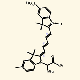 CCCCC(C(=O)C(C)C)N1/C(=C/C=C/C=C/C2=[N+](CC)c3ccc(S(=O)(=O)O)cc3C2(C)C)C(C)(C)c2cc(C)ccc21